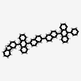 c1ccc(-c2c3ccccc3c(-c3ccc4cc(-c5ccc6cc(-c7c8ccccc8c(-c8ccc9oc%10ccccc%10c9c8)c8ccccc78)ccc6c5)ccc4c3)c3ccccc23)cc1